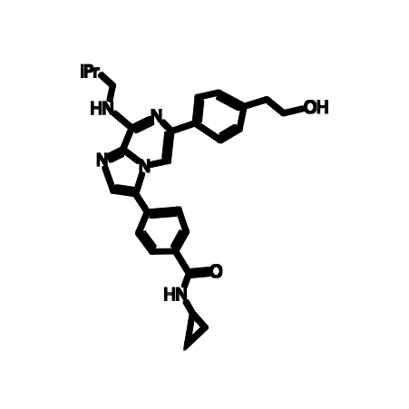 CC(C)CNc1nc(-c2ccc(CCO)cc2)cn2c(-c3ccc(C(=O)NC4CC4)cc3)cnc12